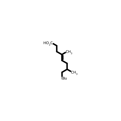 C/C(=C\CC(C)CC(C)(C)C)CCC(=O)O